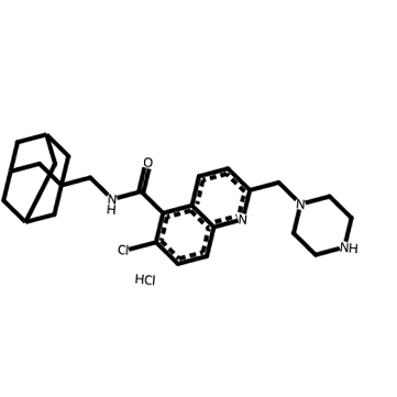 Cl.O=C(NCC12CC3CC(CC(C3)C1)C2)c1c(Cl)ccc2nc(CN3CCNCC3)ccc12